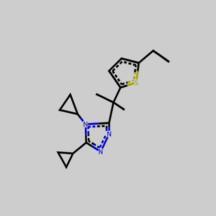 CCc1ccc(C(C)(C)c2nnc(C3CC3)n2C2CC2)s1